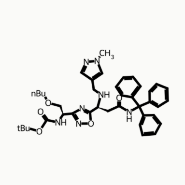 CCCCOC[C@H](NC(=O)OC(C)(C)C)c1noc([C@H](CC(=O)NC(c2ccccc2)(c2ccccc2)c2ccccc2)NCc2cnn(C)c2)n1